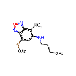 CC(=O)OCCCNc1cc(SOC(C)=O)c2nonc2c1[N+](=O)[O-]